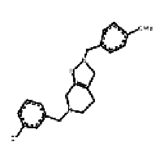 COc1ccc(CN2CC3=C(CN(Cc4cccc(Cl)c4)CC3)N2)cc1